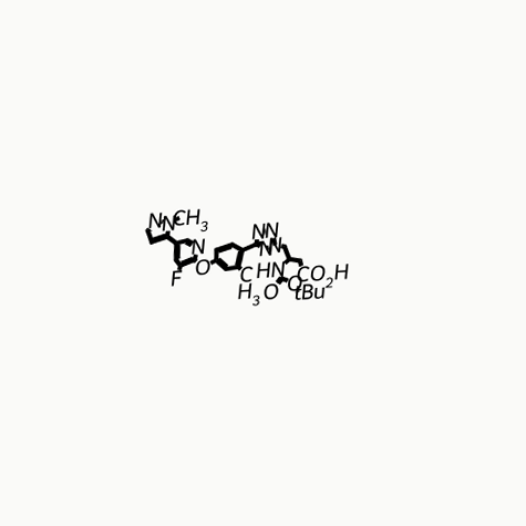 Cc1cc(Oc2ncc(-c3ccnn3C)cc2F)ccc1-c1nnn(CC(CC(=O)O)NC(=O)OC(C)(C)C)n1